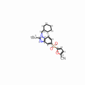 CC(C)(C)c1nc2cc(S(=O)(=O)c3ccc(C#N)o3)ccc2n1CC1CCCCC1